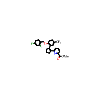 COC(=O)c1cccc(C2=C(c3cc(C(F)(F)F)ccc3OCc3ccc(F)cc3F)CCC2)n1